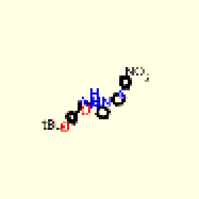 CC(C)(C)Oc1ccc(-c2cnc(N[C@@H]3CCCC[C@H]3N[C@H]3CCCN(c4ccc([N+](=O)[O-])cc4)C3)o2)cc1